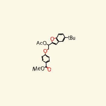 COC(=O)c1ccc(OCC(OC(C)=O)c2cc3cc(C(C)(C)C)ccc3o2)cc1